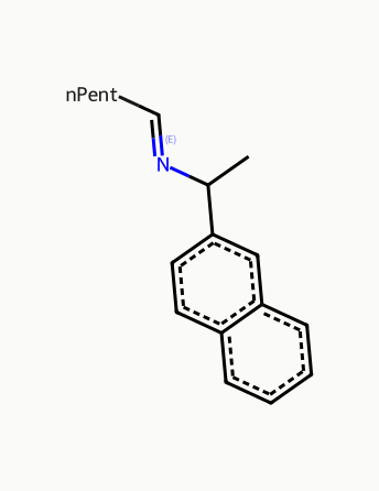 CCCCC/C=N/C(C)c1ccc2ccccc2c1